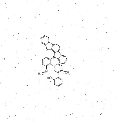 C=Nc1cccc(-n2c3ccccc3c3ccc4c5ccccc5sc4c32)c1-c1ccc(C)c(-c2ccccc2O)c1